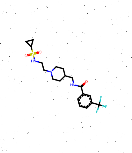 O=C(NCC1CCN(CCNS(=O)(=O)C2CC2)CC1)c1cccc(C(F)(F)F)c1